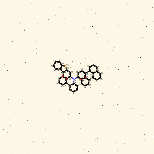 c1ccc(-c2ccccc2N(c2ccc(-c3cccc4cccc(-c5ccccc5)c34)cc2)c2ccc3c(c2)sc2ccccc23)cc1